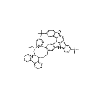 C=CC1CC2C(CCc3cc4c(cc3-c3cccc[n+]31)c1c3c(cc5c6cc(C(C)(C)C)ccc6n4c51)oc1ccc(C(C)(C)C)cc13)c1ccccc1-c1cccc[n+]12